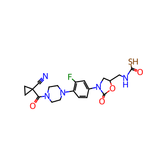 N#CC1(C(=O)N2CCN(c3ccc(N4CC(CNC(=O)S)OC4=O)cc3F)CC2)CC1